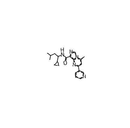 Cc1cc(-c2cccnc2)nc2c(C(=O)NC(CC(C)C)C3CC3)ncn12